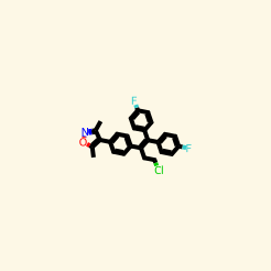 Cc1noc(C)c1-c1ccc(C(CCCl)=C(c2ccc(F)cc2)c2ccc(F)cc2)cc1